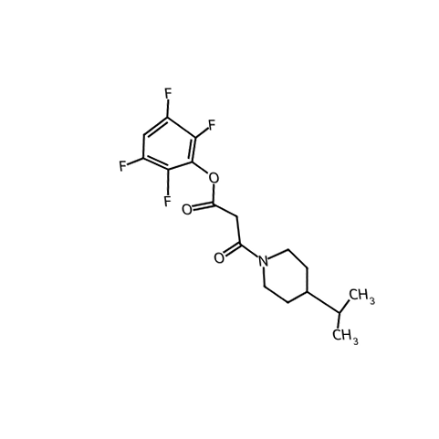 CC(C)C1CCN(C(=O)CC(=O)Oc2c(F)c(F)cc(F)c2F)CC1